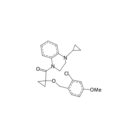 COc1ccc(COC2(C(=O)N3CCN(C4CC4)c4ccccc43)CC2)c(Cl)c1